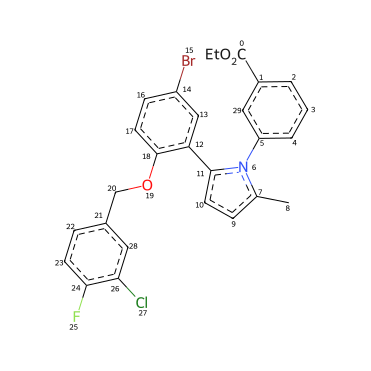 CCOC(=O)c1cccc(-n2c(C)ccc2-c2cc(Br)ccc2OCc2ccc(F)c(Cl)c2)c1